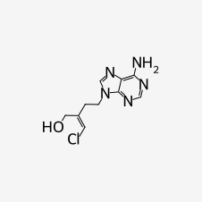 Nc1ncnc2c1ncn2CCC(=CCl)CO